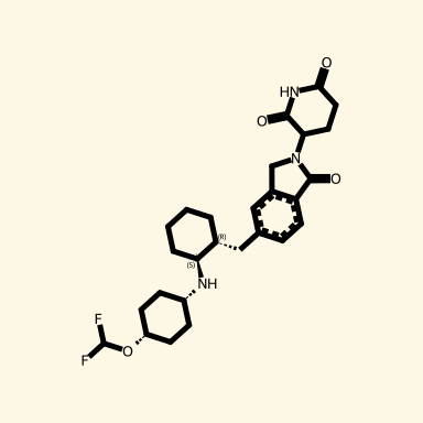 O=C1CCC(N2Cc3cc(C[C@H]4CCCC[C@@H]4N[C@H]4CC[C@@H](OC(F)F)CC4)ccc3C2=O)C(=O)N1